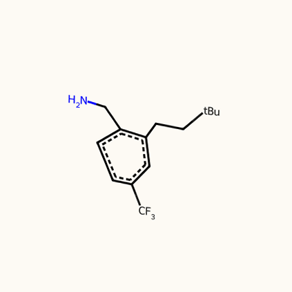 CC(C)(C)CCc1cc(C(F)(F)F)ccc1CN